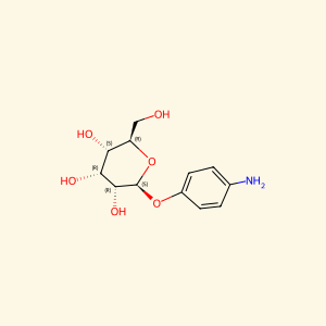 Nc1ccc(O[C@@H]2O[C@H](CO)[C@@H](O)[C@@H](O)[C@H]2O)cc1